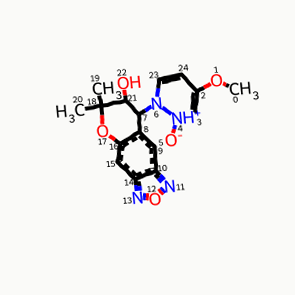 COC1=C[NH+]([O-])N(C2c3cc4nonc4cc3OC(C)(C)C2O)C=C1